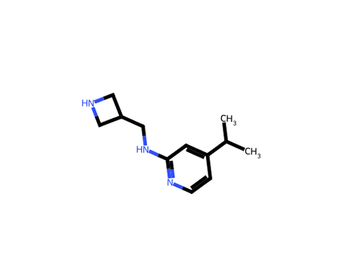 CC(C)c1ccnc(NCC2CNC2)c1